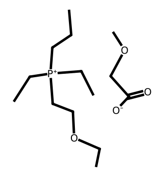 CCC[P+](CC)(CC)CCOCC.COCC(=O)[O-]